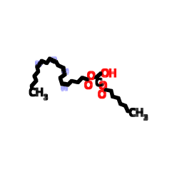 CCCCC/C=C\C/C=C\C/C=C\C/C=C\CCCC(=O)OC(CO)COC(=O)CCCCCCC